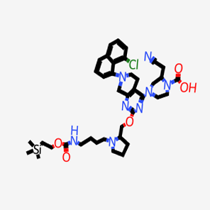 C[Si](C)(C)CCOC(=O)NCCCCN1CCCC1COc1nc2c(c(N3CCN(C(=O)O)C(CC#N)C3)n1)CCN(c1cccc3cccc(Cl)c13)C2